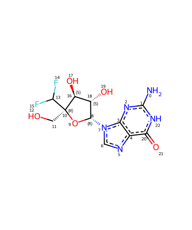 Nc1nc2c(ncn2[C@@H]2O[C@@](CO)(C(F)F)[C@@H](O)[C@@H]2O)c(=O)[nH]1